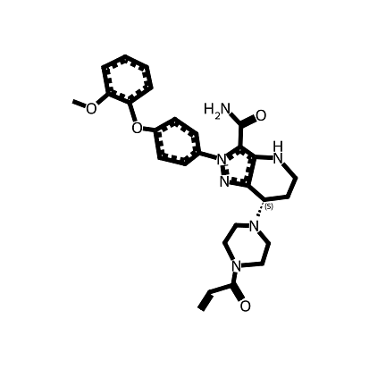 C=CC(=O)N1CCN([C@H]2CCNc3c2nn(-c2ccc(Oc4ccccc4OC)cc2)c3C(N)=O)CC1